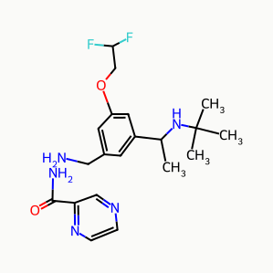 CC(NC(C)(C)C)c1cc(CN)cc(OCC(F)F)c1.NC(=O)c1cnccn1